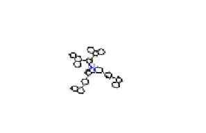 c1ccc2c(-c3ccc(-c4ccc5c(c4)c4cc(-c6ccc(-c7cccc8ccccc78)cc6)ccc4n5-c4cc(-c5cc6ccccc6c6ccccc56)cc(-c5cc6ccccc6c6ccccc56)c4)cc3)cccc2c1